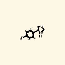 Fc1ccc(C2COCN2)cc1